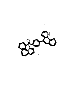 O=P(c1ccccc1)(c1ccc(-c2cc3ccccc3c3ncccc23)cc1)c1cccc2ccccc12